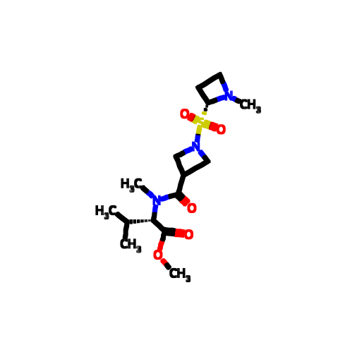 COC(=O)[C@H](C(C)C)N(C)C(=O)C1CN(S(=O)(=O)[C@@H]2CCN2C)C1